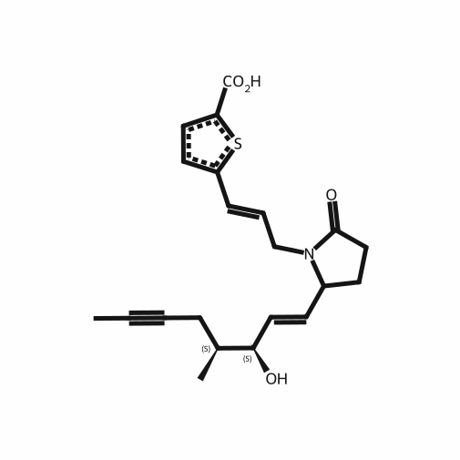 CC#CC[C@H](C)[C@H](O)C=CC1CCC(=O)N1CC=Cc1ccc(C(=O)O)s1